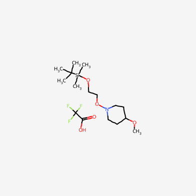 COC1CCN(OCCO[Si](C)(C)C(C)(C)C)CC1.O=C(O)C(F)(F)F